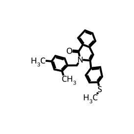 CSc1ccc(-c2cc3ccccc3c(=O)n2Cc2ccc(C)cc2C)cc1